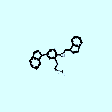 CCCc1cc(C2C=Cc3ccccc32)cc[c]1[Zr][CH2]C1C=Cc2ccccc21